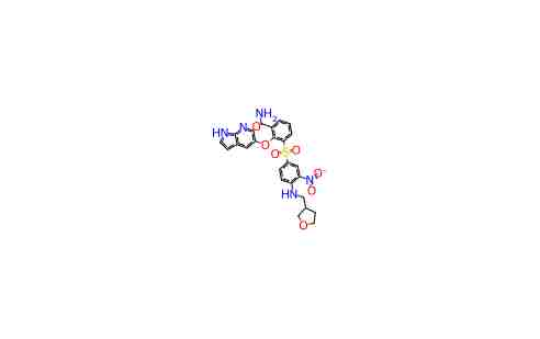 NC(=O)c1cccc(S(=O)(=O)c2ccc(NCC3CCOC3)c([N+](=O)[O-])c2)c1Oc1cnc2[nH]ccc2c1